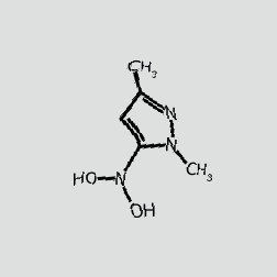 Cc1cc(N(O)O)n(C)n1